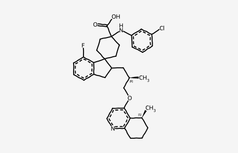 C[C@@H](COc1ccnc2c1[C@@H](C)CCC2)CC1Cc2cccc(F)c2C12CCC(Nc1cccc(Cl)c1)(C(=O)O)CC2